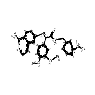 CCNc1cccc(CNC(=O)C(Nc2ccc3c(N)nccc3c2)c2ccc(OC(C)C)c(OCC)c2)c1